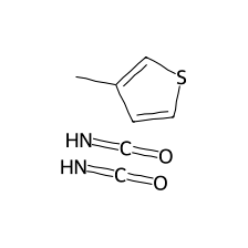 Cc1ccsc1.N=C=O.N=C=O